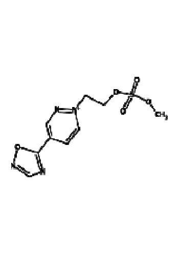 COS(=O)(=O)OCC[n+]1ccc(-c2ncno2)cn1